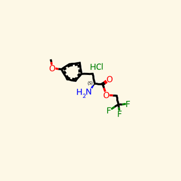 COc1ccc(C[C@H](N)C(=O)OCC(F)(F)F)cc1.Cl